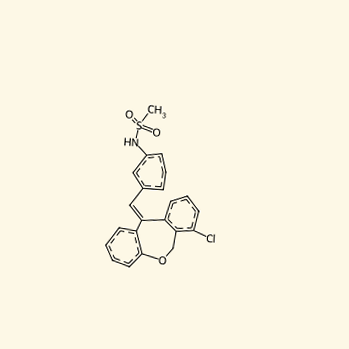 CS(=O)(=O)Nc1cccc(/C=C2/c3ccccc3OCc3c(Cl)cccc32)c1